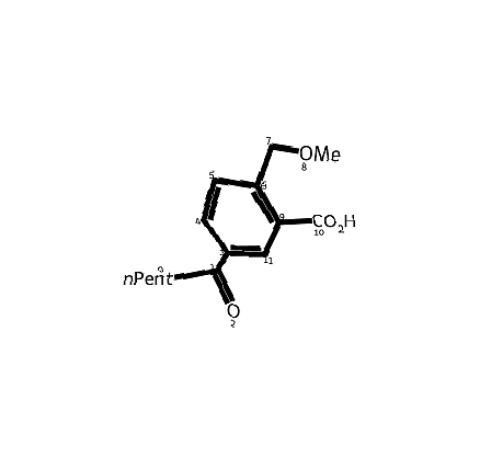 CCCCCC(=O)c1ccc(COC)c(C(=O)O)c1